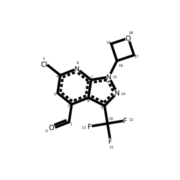 O=Cc1cc(Cl)nc2c1c(C(F)(F)F)nn2C1COC1